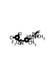 Cc1cc(C2=NOC(c3cc(Cl)cc(Cl)c3)(C(F)(F)F)C2)ccc1C(=O)Nc1nc(CF)n(C)n1